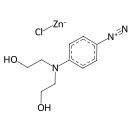 N#[N+]c1ccc(N(CCO)CCO)cc1.[Cl][Zn-]